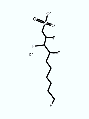 O=S(=O)([O-])CC(F)C(F)C(F)CCCCCCF.[K+]